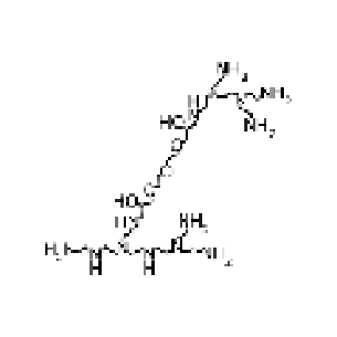 NCCNCCN(CCNCCN(CCN)CCN)CCNCC(O)COCCOCCOCC(O)CNCCN(CCN)CCN(CCN)CCN